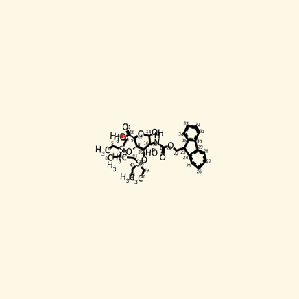 CC[Si](CC)(CC)O[C@@H]1[C@@H](C(=O)O)O[C@@H](O)[C@@](O)(NC(=O)OCC2c3ccccc3-c3ccccc32)[C@H]1O[Si](CC)(CC)CC